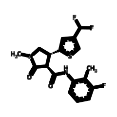 Cc1c(F)cccc1NC(=O)[C@H]1C(=O)N(C)C[C@@H]1c1cc(C(F)F)cs1